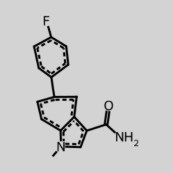 Cn1cc(C(N)=O)c2cc(-c3ccc(F)cc3)ccc21